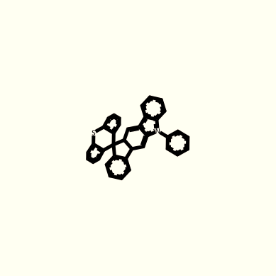 C1=c2c(n(-c3ccccc3)c3ccccc23)=CC2c3ccccc3C3(c4ccccc4Sc4ccccc43)C12